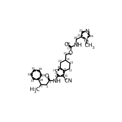 CC(CC(=O)Nc1sc2c(c1C#N)CCC(COC(=O)NCc1cncn1C)C2)c1ccccc1